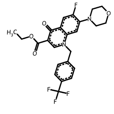 CCOC(=O)c1cn(Cc2ccc(C(F)(F)F)cc2)c2cc(N3CCOCC3)c(F)cc2c1=O